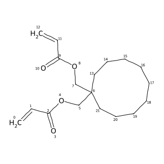 C=CC(=O)OCC1(COC(=O)C=C)CCCCCCCCC1